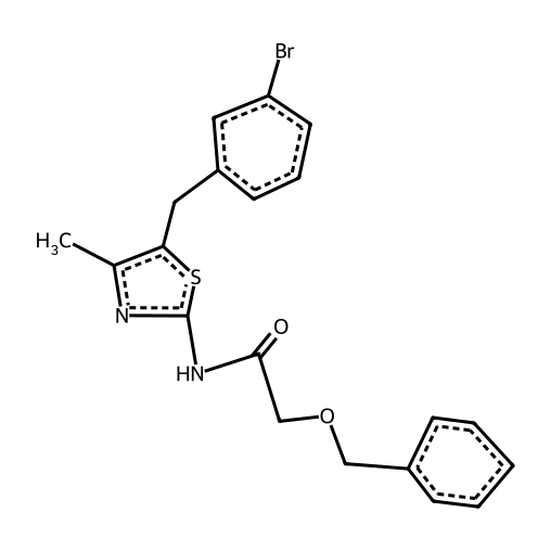 Cc1nc(NC(=O)COCc2ccccc2)sc1Cc1cccc(Br)c1